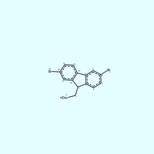 CCCCCCCCCCCC1c2ccc(Br)cc2-c2ccc(Br)cc21